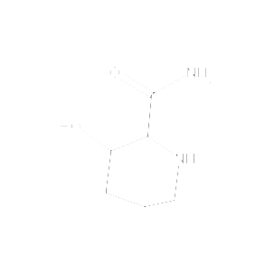 NC(=O)C1NCCCC1O